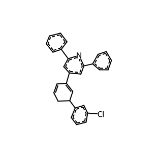 Clc1cccc(C2C=C(c3cc(-c4ccccc4)nc(-c4ccccc4)c3)C=CC2)c1